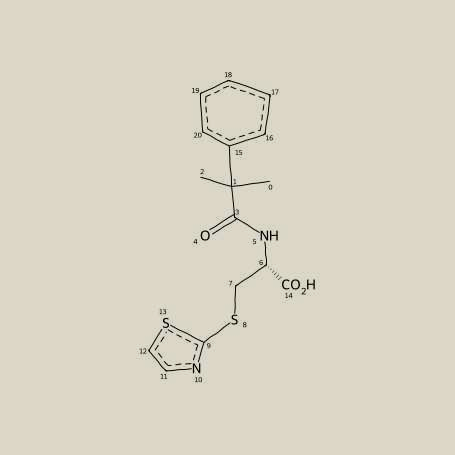 CC(C)(C(=O)N[C@@H](CSc1nccs1)C(=O)O)c1ccccc1